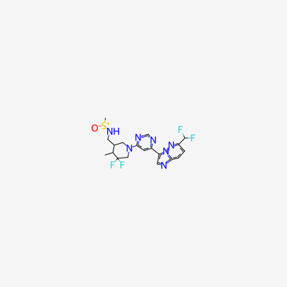 CC1C(CN[S+](C)[O-])CN(c2cc(-c3cnc4ccc(C(F)F)nn34)ncn2)CC1(F)F